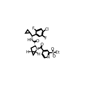 CCS(=O)(=O)c1cc(C(=O)N2[C@@H](C(=O)N[C@@H](c3cc(F)c(Cl)cc3F)C3CC3)C[C@H]3C[C@H]32)ccn1